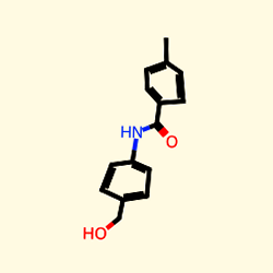 Cc1ccc(C(=O)Nc2ccc(CO)cc2)cc1